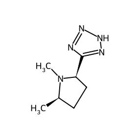 C[C@@H]1CC[C@H](c2nn[nH]n2)N1C